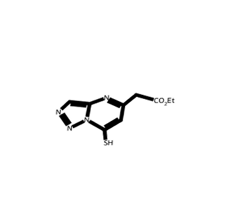 CCOC(=O)Cc1cc(S)n2nncc2n1